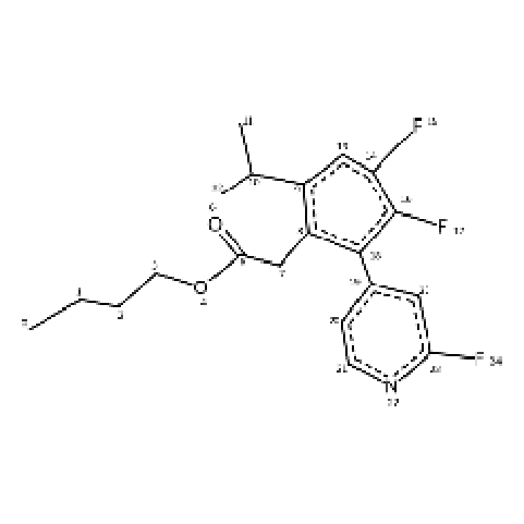 CCCCOC(=O)Cc1c(C(C)C)cc(F)c(F)c1-c1ccnc(F)c1